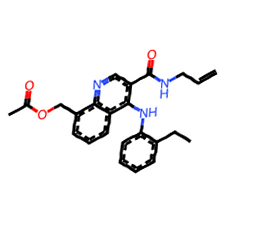 C=CCNC(=O)c1cnc2c(COC(C)=O)cccc2c1Nc1ccccc1CC